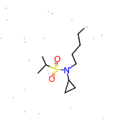 CCCCCN(C1CC1)S(=O)(=O)C(C)C